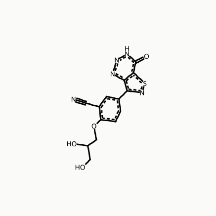 N#Cc1cc(-c2nsc3c(=O)[nH]nnc23)ccc1OCC(O)CO